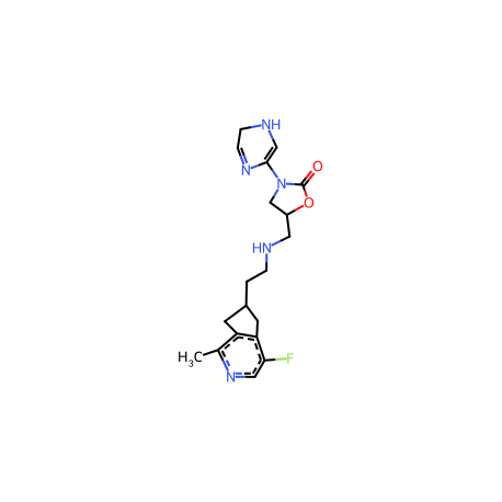 Cc1ncc(F)c2c1CC(CCNCC1CN(C3=CNCC=N3)C(=O)O1)C2